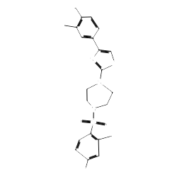 O=S(=O)(c1ccc(F)cc1F)N1CCN(c2nc(-c3ccc(Cl)c(F)c3)cs2)CC1